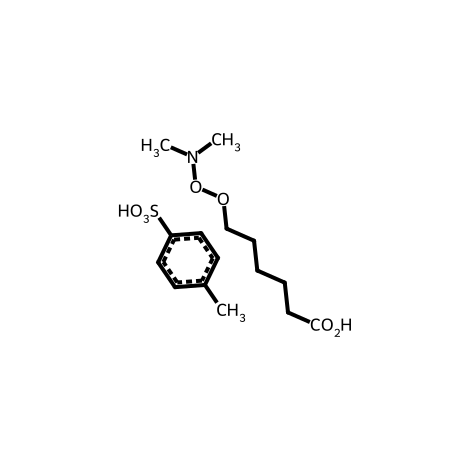 CN(C)OOCCCCCC(=O)O.Cc1ccc(S(=O)(=O)O)cc1